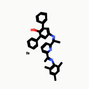 CC(=Nc1cc(-c2ccccc2)c(O)c(-c2ccccc2)c1)c1cccc(C(C)=Nc2c(C)cc(C)cc2C)n1.[Fe]